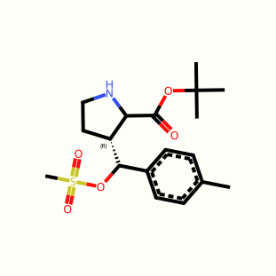 Cc1ccc(C(OS(C)(=O)=O)[C@@H]2CCNC2C(=O)OC(C)(C)C)cc1